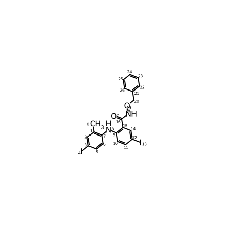 Cc1cc(I)ccc1Nc1ccc(I)cc1C(=O)NOCc1ccccc1